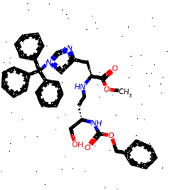 COC(=O)[C@H](Cc1cn(C(c2ccccc2)(c2ccccc2)c2ccccc2)cn1)NCC[C@@H](CO)NC(=O)OCc1ccccc1